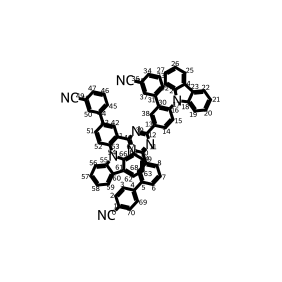 N#Cc1ccc(-c2cccc(-c3nc(-c4ccc(-n5c6ccccc6c6ccccc65)c(-c5cccc(C#N)c5)c4)nc(-c4cc(-c5cccc(C#N)c5)ccc4-n4c5ccccc5c5ccccc54)n3)c2)cc1